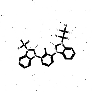 [2H]C([2H])(C)N1c2ccccc2N(c2cccc(N3c4ccccc4N(C([2H])([2H])C([2H])([2H])[2H])[C@H]3C)c2C)[C@H]1C